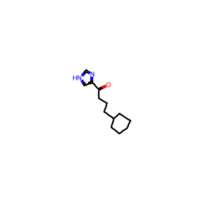 O=C(CCCC1CCCCC1)c1c[nH]cn1